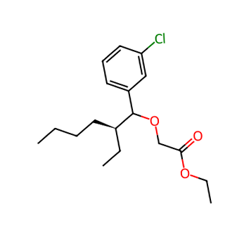 CCCC[C@H](CC)C(OCC(=O)OCC)c1cccc(Cl)c1